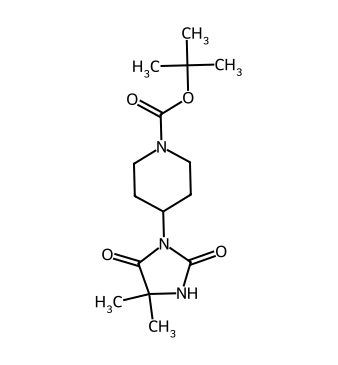 CC(C)(C)OC(=O)N1CCC(N2C(=O)NC(C)(C)C2=O)CC1